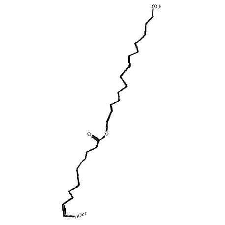 CCCCCCCC/C=C\CCCCCCCC(=O)OCCCCCCCCCCCCCCC(=O)O